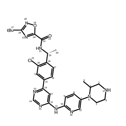 CC1CNCCN1c1ccc(Nc2cc(-c3ccc([C@@H](C)NC(=O)c4nc(C(C)(C)C)no4)c(Cl)c3)ncn2)nc1